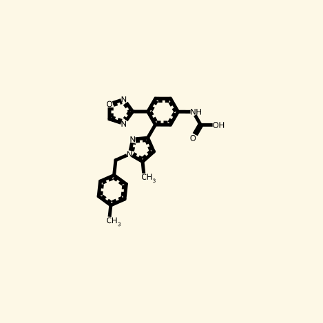 Cc1ccc(Cn2nc(-c3cc(NC(=O)O)ccc3-c3ncon3)cc2C)cc1